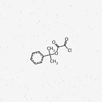 CC(C)(OC(=O)C(=O)Cl)c1ccccc1